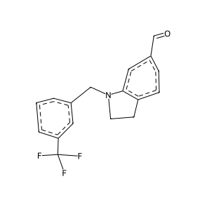 O=Cc1ccc2c(c1)N(Cc1cccc(C(F)(F)F)c1)CC2